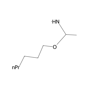 CCCCCCOC(C)[NH]